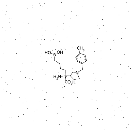 Cc1ccc(CN2CCC(C(N)(CCCCB(O)O)C(=O)O)C2)cc1